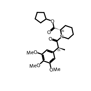 COc1cc([C@H](C)C(=O)N2CCCC[C@H]2C(=O)OC2CCCC2)cc(OC)c1OC